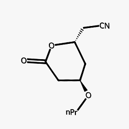 CCCO[C@H]1CC(=O)O[C@H](CC#N)C1